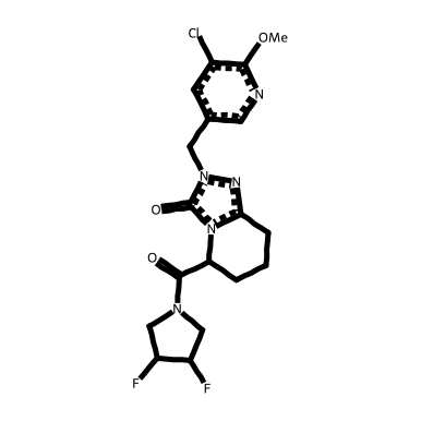 COc1ncc(Cn2nc3n(c2=O)C(C(=O)N2CC(F)C(F)C2)CCC3)cc1Cl